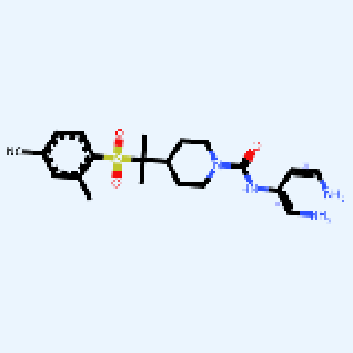 Cc1cc(C#N)ccc1S(=O)(=O)C(C)(C)C1CCN(C(=O)NC(/C=C\N)=C/N)CC1